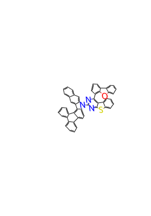 c1ccc2cc3c(cc2c1)c1c2c4ccccc4c4ccccc4c2ccc1n3-c1nc(-c2cccc3c2oc2ccccc23)c2c(n1)sc1ccccc12